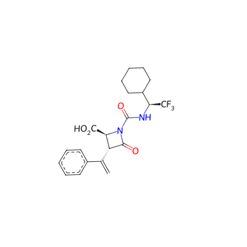 C=C(c1ccccc1)[C@H]1C(=O)N(C(=O)N[C@@H](C2CCCCC2)C(F)(F)F)[C@@H]1C(=O)O